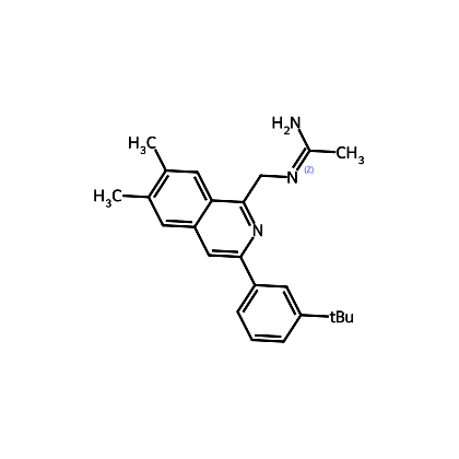 C/C(N)=N/Cc1nc(-c2cccc(C(C)(C)C)c2)cc2cc(C)c(C)cc12